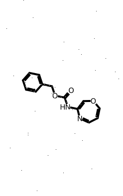 O=C(NC1=COC=CC=N1)OCc1ccccc1